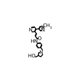 Cn1cc(-c2ccncc2/C=C/C(=O)Nc2ccc(CN3CCC(CO)C3)cc2)cn1